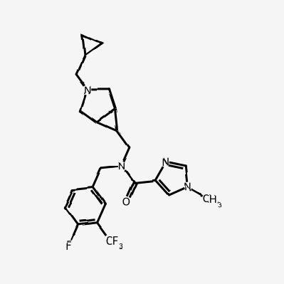 Cn1cnc(C(=O)N(Cc2ccc(F)c(C(F)(F)F)c2)CC2C3CN(CC4CC4)CC32)c1